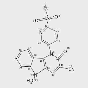 CCS(=O)(=O)c1ccc(-n2c(=O)c(C#N)cc3c2c2ccccc2n3C)cn1